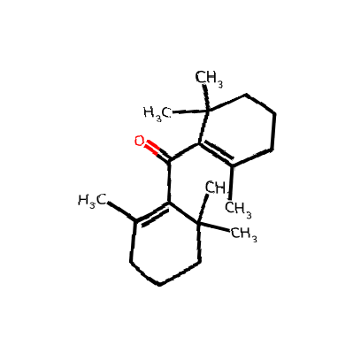 CC1=C(C(=O)C2=C(C)CCCC2(C)C)C(C)(C)CCC1